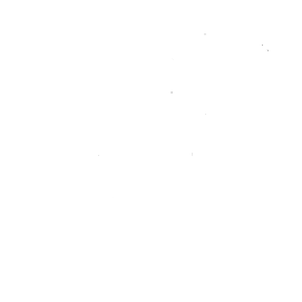 CCCCOCC(C)c1ccc(N)cc1Cl